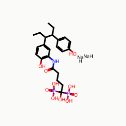 CCC(c1ccc(O)cc1)C(CC)c1ccc(O)c(NC(=O)CCCC(O)(P(=O)(O)O)P(=O)(O)O)c1.[NaH].[NaH]